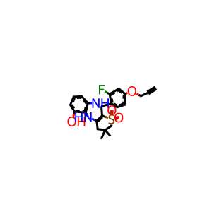 C#CCOc1ccc(C2Nc3cccc(O)c3NC3=C2S(=O)(=O)CC(C)(C)C3)c(F)c1